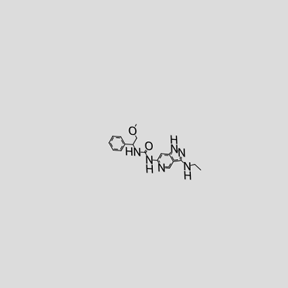 CCNc1n[nH]c2cc(NC(=O)NC(COC)c3ccccc3)ncc12